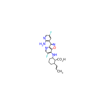 C/C=C/C1CCCC(Nc2c(F)cnc3c(-c4cc(F)cnc4N)noc23)[C@H]1C(=O)O